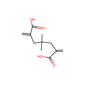 C=C(CC(C)(C)CC(=C)C(=O)O)C(=O)O